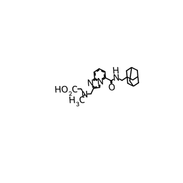 CN(CC(=O)O)Cc1cn2c(C(=O)NCC34CC5CC(CC(C5)C3)C4)cccc2n1